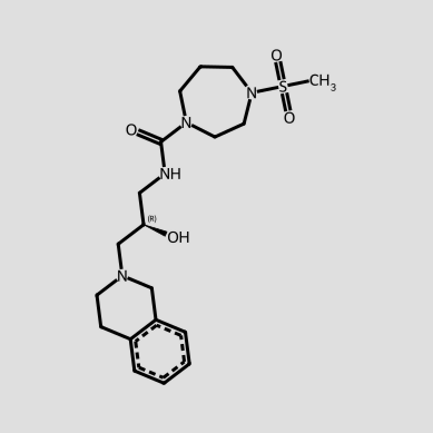 CS(=O)(=O)N1CCCN(C(=O)NC[C@@H](O)CN2CCc3ccccc3C2)CC1